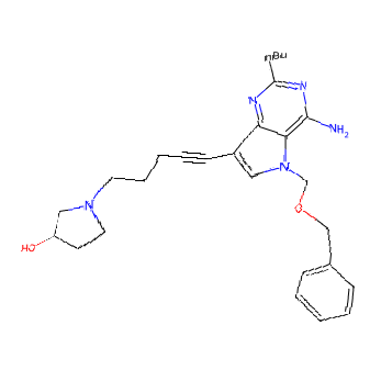 CCCCc1nc(N)c2c(n1)c(C#CCCCN1CCC(O)C1)cn2COCc1ccccc1